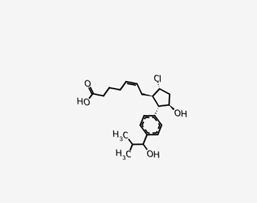 CC(C)C(O)c1ccc([C@@H]2[C@@H](C/C=C\CCCC(=O)O)[C@H](Cl)C[C@H]2O)cc1